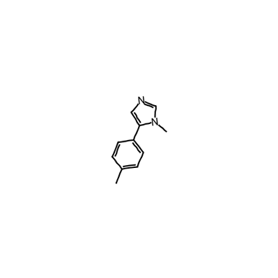 Cc1ccc(-c2cncn2C)cc1